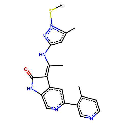 CCSn1nc(N/C(C)=C2\C(=O)Nc3cnc(-c4cnccc4C)cc32)cc1C